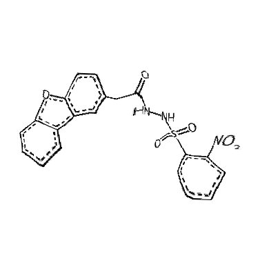 O=C(NNS(=O)(=O)c1ccccc1[N+](=O)[O-])c1ccc2oc3ccccc3c2c1